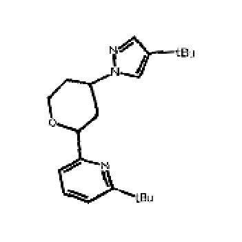 CC(C)(C)c1cnn(C2CCOC(c3cccc(C(C)(C)C)n3)C2)c1